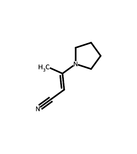 CC(=CC#N)N1CCCC1